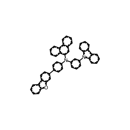 c1cc(N(c2ccc(-c3ccc4c(c3)oc3ccccc34)cc2)c2cc3ccccc3c3ccccc23)cc(-n2c3ccccc3c3ccccc32)c1